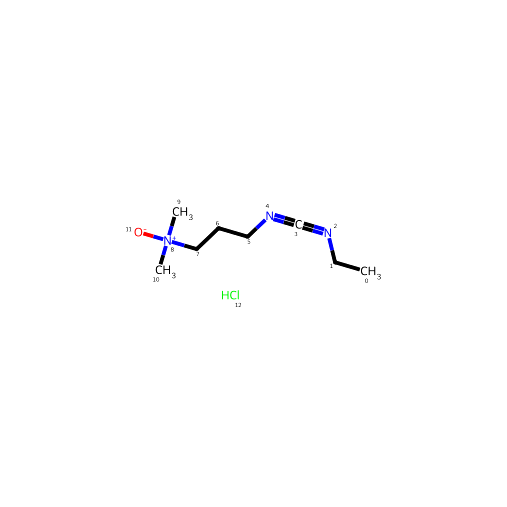 CCN=C=NCCC[N+](C)(C)[O-].Cl